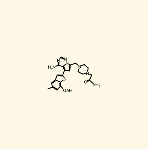 COc1cc(C)cc2cc(-c3cc(CN4CCN(CC(N)=O)CC4)n4ncnc(N)c34)sc12